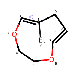 CC/C1=C\OCCO/C=C/C1